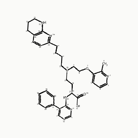 Cc1ncccc1OCCN(CCCCc1ccc2c(n1)NCCC2)CC[C@H](Nc1ncncc1-c1ccccc1)C(=O)O